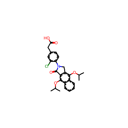 CC(C)Oc1c2c(c(OC(C)C)c3ccccc13)C(=O)N(c1ccc(CC(=O)O)cc1Cl)C2